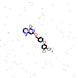 CN1CCCn2c1cc(OCc1ccc(Oc3ccc(Cl)c(C(F)(F)F)c3)cc1)nc2=O